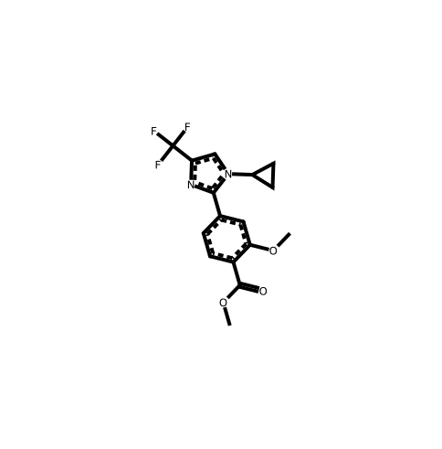 COC(=O)c1ccc(-c2nc(C(F)(F)F)cn2C2CC2)cc1OC